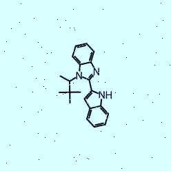 CC(n1c(-c2cc3ccccc3[nH]2)nc2ccccc21)C(C)(C)C